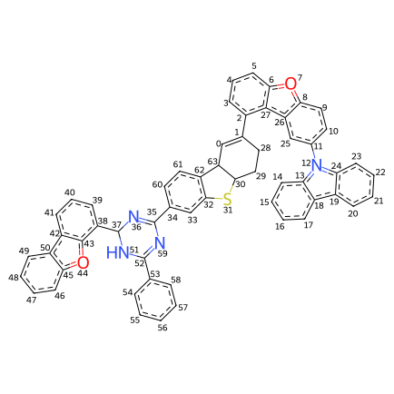 C1=C(c2cccc3oc4ccc(-n5c6ccccc6c6ccccc65)cc4c23)CCC2Sc3cc(C4=NC(c5cccc6c5oc5ccccc56)NC(c5ccccc5)=N4)ccc3C12